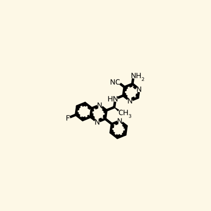 C[C@H](Nc1ncnc(N)c1C#N)c1nc2ccc(F)cc2nc1-c1ccccn1